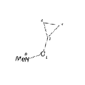 CNOC1CC1